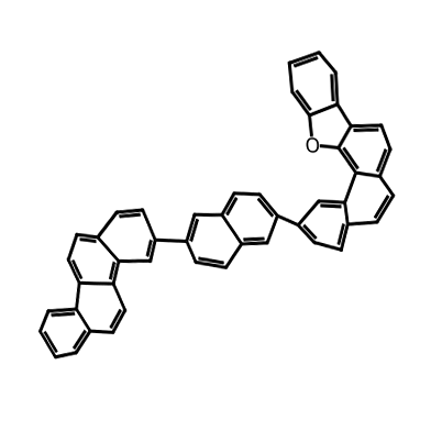 c1ccc2c(c1)ccc1c3cc(-c4ccc5cc(-c6ccc7ccc8ccc9c%10ccccc%10oc9c8c7c6)ccc5c4)ccc3ccc21